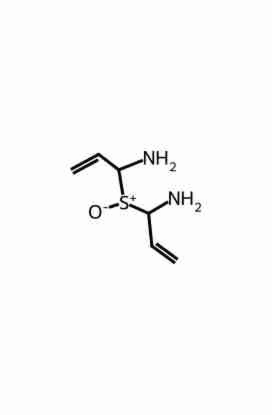 C=CC(N)[S+]([O-])C(N)C=C